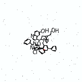 OCCC1C2CC(C(Oc3nc(-c4ccccc4)nc(Cl)c3-c3ccccc3)c3ccnc4ccc(O)cc34)[N+]3(Cc4cc(-c5ccccc5)ccc4-c4ccccc4)CCC123